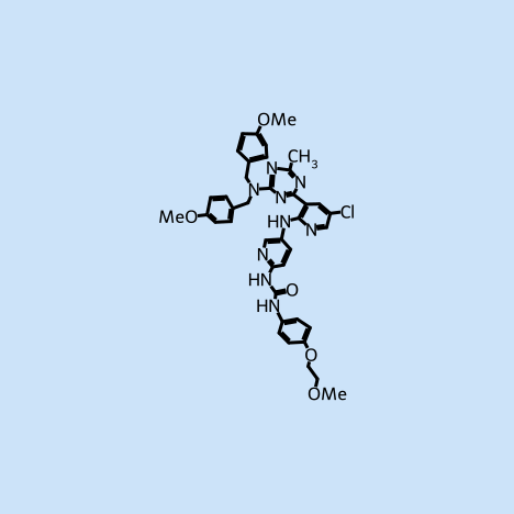 COCCOc1ccc(NC(=O)Nc2ccc(Nc3ncc(Cl)cc3-c3nc(C)nc(N(Cc4ccc(OC)cc4)Cc4ccc(OC)cc4)n3)cn2)cc1